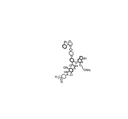 COCCOc1nc2[nH]ccc2cc1Oc1cc(N2CCC3(CC2)CC(N2CCOC[C@H]2c2ccccc2C(C)C)C3)ccc1C(=O)NSc1cc(N=O)c2c(c1)OC[C@H]([C@H]1CC[C@](C)(O)CC1)N2